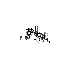 CCN1C(=O)C(C)(C)c2cc3nc(-c4n[nH]c5ccc(OC(F)(F)F)cc45)[nH]c3cc21